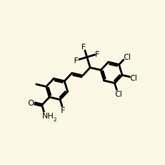 Cc1cc(/C=C/C(c2cc(Cl)c(Cl)c(Cl)c2)C(F)(F)F)cc(F)c1C(N)=O